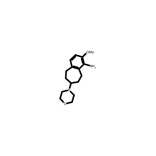 COc1ccc2c(c1N)CCC(N1CCOCC1)CC2